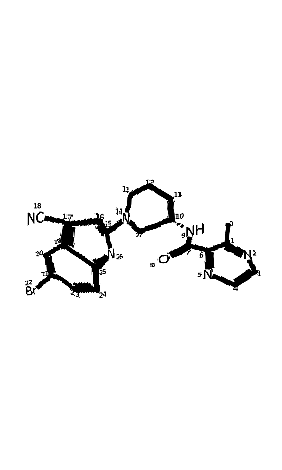 Cc1nccnc1C(=O)N[C@H]1CCCN(c2cc(C#N)c3cc(Br)ccc3n2)C1